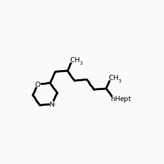 CCCCCCCC(C)CCCC(C)CC1C[N]CCO1